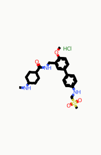 CNC1CCC(C(=O)NCc2cc(-c3ccc(NCS(C)(=O)=O)cc3)ccc2OC)CC1.Cl